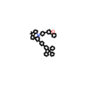 CC1(C)c2ccccc2-c2c(N(c3ccc(-c4ccc5oc6ccccc6c5c4)cc3)c3cccc(-c4ccc(-c5ccc6c(c5)-c5ccccc5C6(c5ccccc5)c5ccccc5)cc4)c3)cccc21